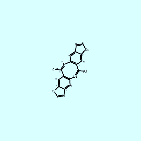 Cl/C1=N/c2cc3ccsc3cc2/C(Cl)=N\c2cc3ccsc3cc21